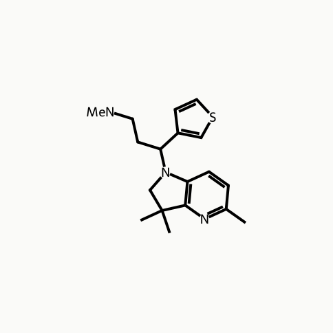 CNCCC(c1ccsc1)N1CC(C)(C)c2nc(C)ccc21